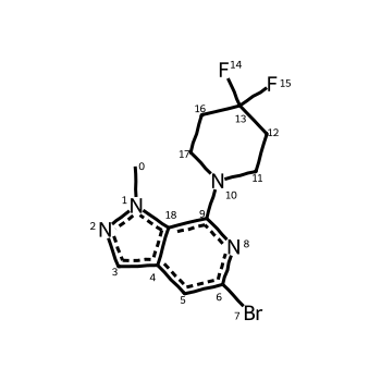 Cn1ncc2cc(Br)nc(N3CCC(F)(F)CC3)c21